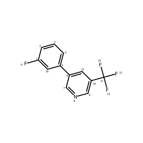 Fc1cccc(-c2cncc(C(F)(F)F)c2)c1